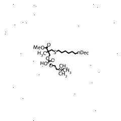 CCCCCCCCCCCCCCCCSCC(C)(COP(=O)(O)OCC[N+](C)(C)C)C(=O)OC